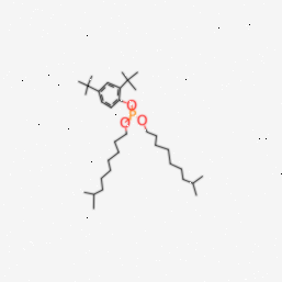 CC(C)CCCCCCCOP(OCCCCCCCC(C)C)Oc1ccc(C(C)(C)C)cc1C(C)(C)C